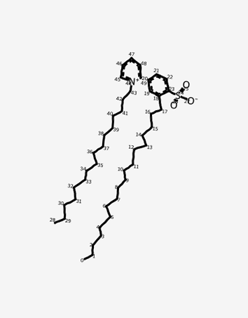 CCCCCCCCCCCCCCCCCCc1ccccc1S(=O)(=O)[O-].CCCCCCCCCCCCCCCC[n+]1ccccc1